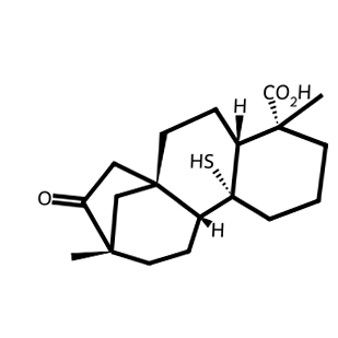 C[C@@]12CC[C@@H]3[C@@](CC[C@H]4[C@@]3(S)CCC[C@@]4(C)C(=O)O)(CC1=O)C2